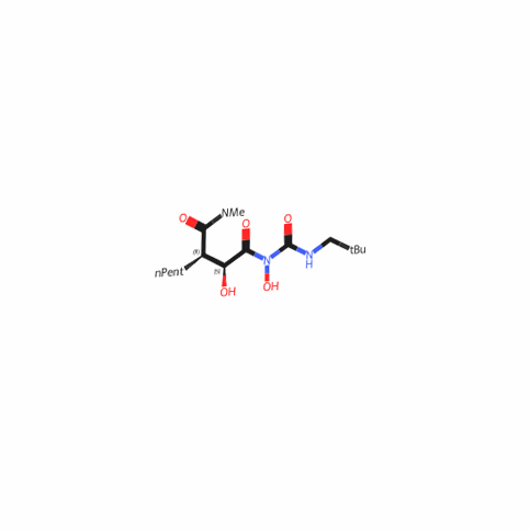 CCCCC[C@@H](C(=O)NC)[C@H](O)C(=O)N(O)C(=O)NCC(C)(C)C